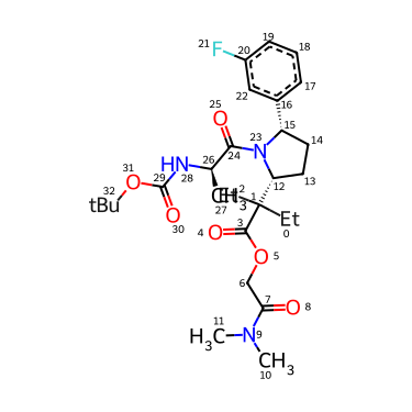 CCC(CC)(C(=O)OCC(=O)N(C)C)[C@H]1CC[C@@H](c2cccc(F)c2)N1C(=O)[C@@H](C)NC(=O)OC(C)(C)C